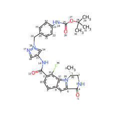 C[C@@H]1CNC(=O)c2cc3ccc(C(=O)Nc4cnn(Cc5ccc(NC(=O)OC(C)(C)C)cc5)c4)c(F)c3n21